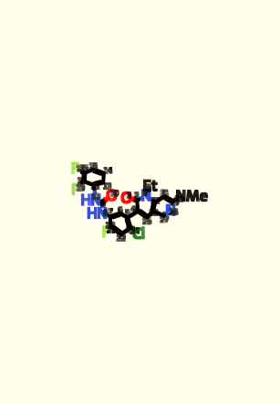 CCn1c(=O)c(-c2cc(NC(=O)Nc3cccc(F)c3F)c(F)cc2Cl)cc2cnc(NC)cc21